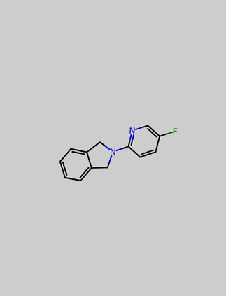 Fc1ccc(N2Cc3ccccc3C2)nc1